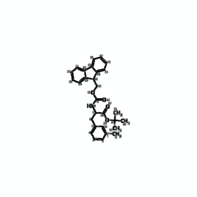 Cc1cccc(CC(NC(=O)OCC2c3ccccc3-c3ccccc32)C(=O)OC(C)(C)C)c1